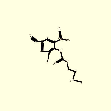 COCCOC(=O)Oc1c(Br)cc(C#N)cc1[N+](=O)[O-]